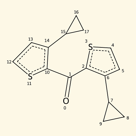 O=C(c1sccc1C1CC1)c1sccc1C1CC1